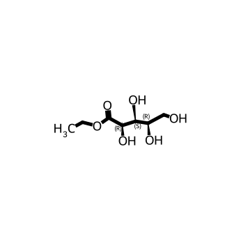 CCOC(=O)[C@H](O)[C@@H](O)[C@H](O)CO